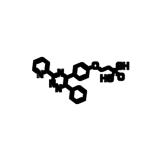 O=P(O)(O)CCOc1ccc(-c2nc(-c3ccccn3)nnc2-c2ccccc2)cc1